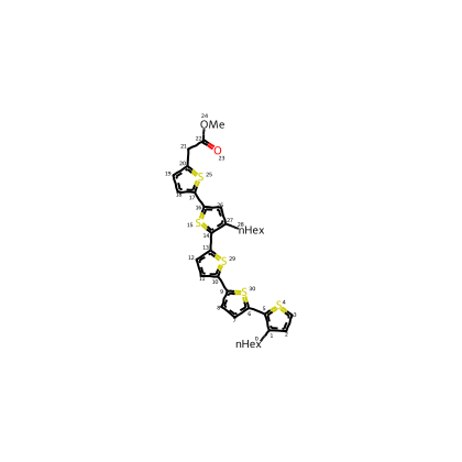 CCCCCCc1ccsc1-c1ccc(-c2ccc(-c3sc(-c4ccc(CC(=O)OC)s4)cc3CCCCCC)s2)s1